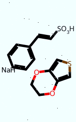 O=S(=O)(O)C=Cc1ccccc1.[NaH].c1scc2c1OCCO2